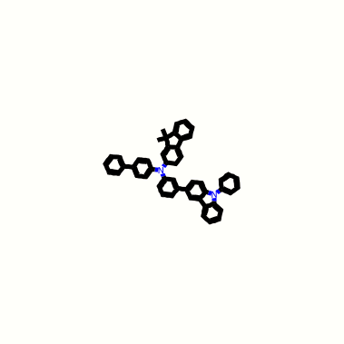 CC1(C)C2=CC(N(c3ccc(-c4ccccc4)cc3)c3cccc(-c4ccc5c(c4)c4ccccc4n5-c4ccccc4)c3)CC=C2c2ccccc21